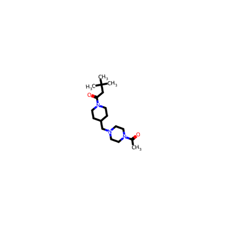 CC(=O)N1CCN(CC2CCN(C(=O)CC(C)(C)C)CC2)CC1